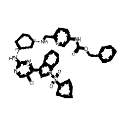 O=C(Nc1ccc(CN[C@H]2CCC[C@@H](Nc3ncc(Cl)c(-c4cn(S(=O)(=O)c5ccccc5)c5ccccc45)n3)C2)nc1)OCc1ccccc1